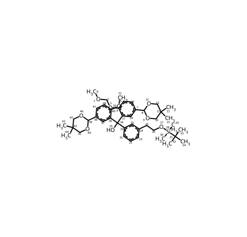 COCOc1ccc(C2OCC(C)(C)CO2)cc1C(O)(c1cccc(CCO[Si](C)(C)C(C)(C)C)c1)c1cc(C2OCC(C)(C)CO2)ccc1OC